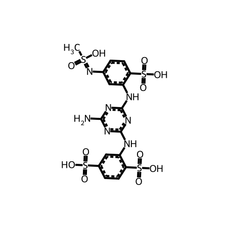 CS(=O)(O)=Nc1ccc(S(=O)(=O)O)c(Nc2nc(N)nc(Nc3cc(S(=O)(=O)O)ccc3S(=O)(=O)O)n2)c1